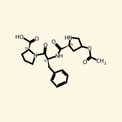 CC(=O)OC1CN[C@H](C(=O)N[C@@H](Cc2ccccc2)C(=O)N2CCC[C@H]2C(=O)O)C1